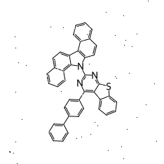 c1ccc(-c2ccc(-c3nc(-n4c5ccc6ccccc6c5c5ccc6ccccc6c54)nc4sc5ccccc5c34)cc2)cc1